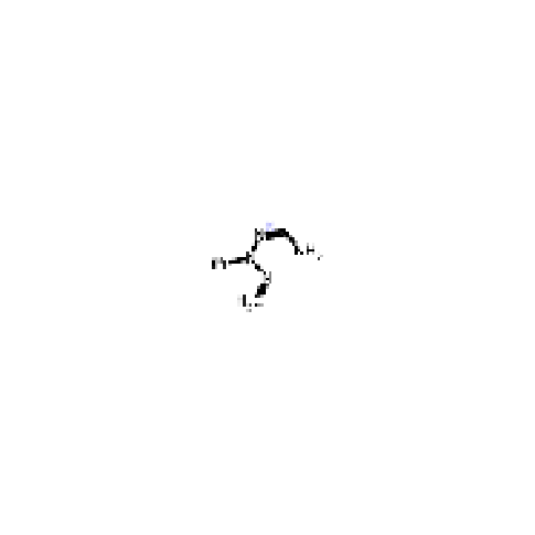 C=NN(/N=C\N)C(C)C